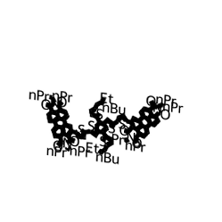 CCCCC(CC)Cc1ccc(-c2c3cc(-c4ccc(-c5cc6c7ccc8c9c(ccc(c%10ccc%11c(c5C(=O)N(C(CCC)CCC)C%11=O)c%106)c97)C(=O)N(C(CCC)CCC)C8=O)s4)sc3c(-c3ccc(CC(CC)CCCC)s3)c3cc(-c4ccc(-c5cc6c7ccc8c9c(ccc(c%10ccc%11c(c5C(=O)N(C(CCC)CCC)C%11=O)c%106)c97)C(=O)N(C(CCC)CCC)C8=O)s4)sc23)s1